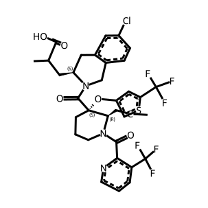 CCC[C@H]1N(C(=O)c2ncccc2C(F)(F)F)CCC[C@@]1(Oc1csc(C(F)(F)F)c1)C(=O)N1Cc2ccc(Cl)cc2C[C@@H]1CC(C)C(=O)O